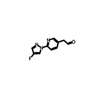 O=CCc1ccc(-n2cc(F)cn2)nc1